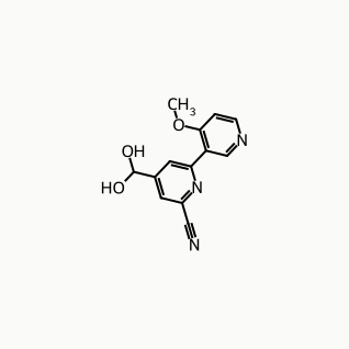 COc1ccncc1-c1cc(C(O)O)cc(C#N)n1